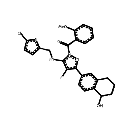 COc1ccccc1C(=O)n1nc(-c2ccc3c(c2)CCCC3O)c(F)c1NCc1ccc(Cl)s1